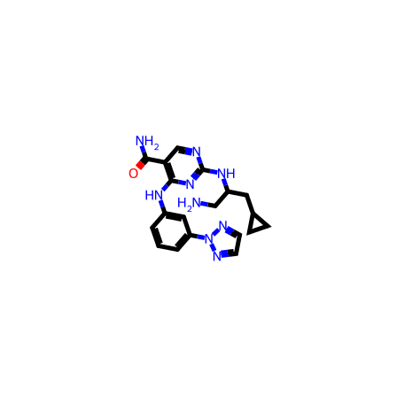 NCC(CC1CC1)Nc1ncc(C(N)=O)c(Nc2cccc(-n3nccn3)c2)n1